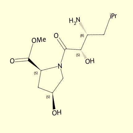 COC(=O)[C@@H]1C[C@H](O)CN1C(=O)[C@@H](O)[C@H](N)CC(C)C